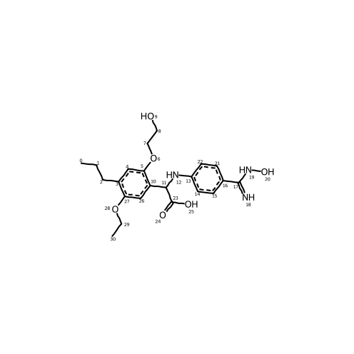 CCCc1cc(OCCO)c(C(Nc2ccc(C(=N)NO)cc2)C(=O)O)cc1OCC